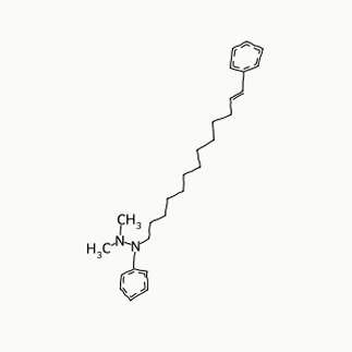 CN(C)N(CCCCCCCCCCCC=Cc1ccccc1)c1ccccc1